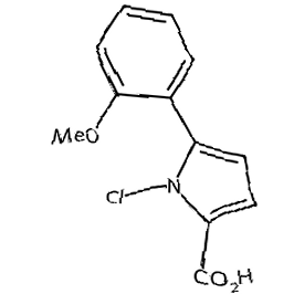 COc1ccccc1-c1ccc(C(=O)O)n1Cl